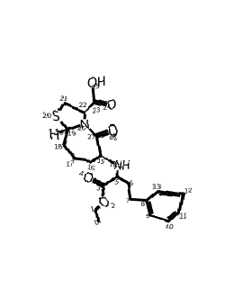 CCOC(=O)C(CCc1ccccc1)N[C@H]1CCC[C@@H]2SC[C@@H](C(=O)O)N2C1=O